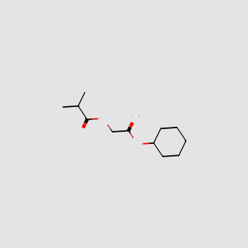 CC(C)C(=O)OCC(=O)OC1CCCCC1